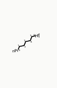 CCCCCCC[CH2][Hf]